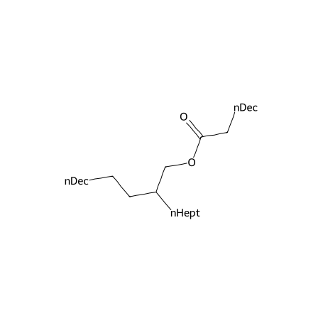 CCCCCCCCCCCCC(CCCCCCC)COC(=O)CCCCCCCCCCC